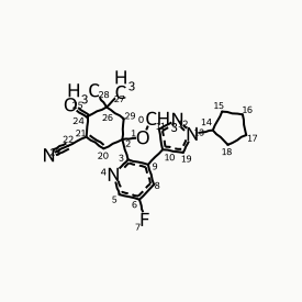 COC1(c2ncc(F)cc2-c2cnn(C3CCCC3)c2)C=C(C#N)C(=O)C(C)(C)C1